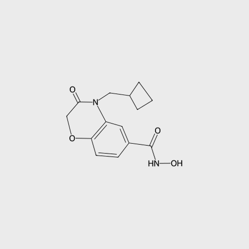 O=C(NO)c1ccc2c(c1)N(CC1CCC1)C(=O)CO2